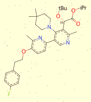 Cc1nc(-c2cnc(C)c([C@H](OC(C)(C)C)C(=O)OC(C)C)c2N2CCC(C)(C)CC2)ccc1OCCc1ccc(F)cc1